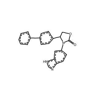 O=C1OCC(c2ccc(-c3ccccc3)cc2)N1c1ccc2nc[nH]c2c1